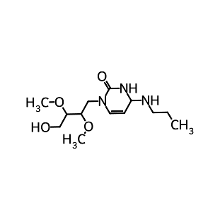 CCCNC1C=CN(CC(OC)C(CO)OC)C(=O)N1